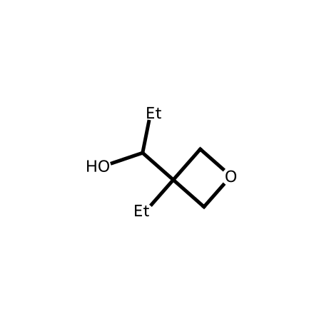 CCC(O)C1(CC)COC1